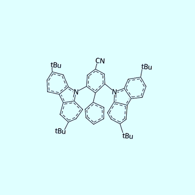 CC(C)(C)c1ccc2c(c1)c1ccc(C(C)(C)C)cc1n2-c1cc(C#N)cc(-n2c3ccc(C(C)(C)C)cc3c3ccc(C(C)(C)C)cc32)c1-c1ccccc1